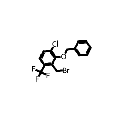 FC(F)(F)c1ccc(Cl)c(OCc2ccccc2)c1CBr